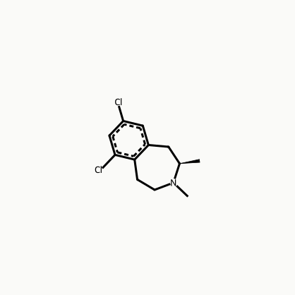 C[C@@H]1Cc2cc(Cl)cc(Cl)c2CCN1C